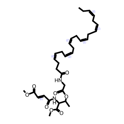 CC/C=C\C/C=C\C/C=C\C/C=C\C/C=C\C/C=C\CCC(=O)NCC(=O)OC(C)C(NC(=O)/C=C/C(=O)OC)C(=O)OC